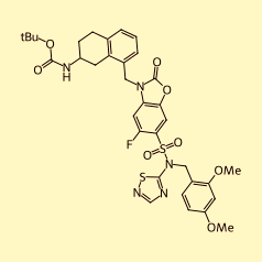 COc1ccc(CN(c2ncns2)S(=O)(=O)c2cc3oc(=O)n(Cc4cccc5c4CC(NC(=O)OC(C)(C)C)CC5)c3cc2F)c(OC)c1